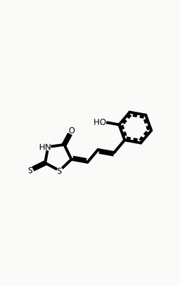 O=C1NC(=S)SC1=CC=Cc1ccccc1O